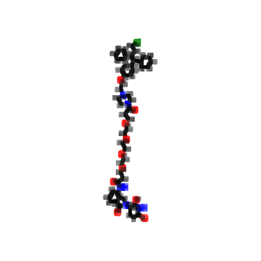 O=C1CCC(N2Cc3c(NC(=O)CCOCCOCCOCCOCCC(=O)N4CCN(CCOc5ccc(/C(=C(/CCCl)c6ccccc6)c6ccccc6)cc5)CC4)cccc3C2=O)C(=O)N1